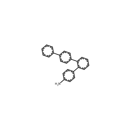 Nc1ccc(-c2ccccc2-c2ccc(-c3ccccc3)cc2)cc1